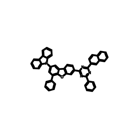 c1ccc(-c2nc(-c3ccc4ccccc4c3)nc(-c3ccc4c(c3)oc3c(-c5ccccc5)cc(-n5c6ccccc6c6ccccc65)cc34)n2)cc1